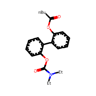 CCCCC(=O)Oc1ccccc1-c1ccccc1OC(=O)N(CC)CC